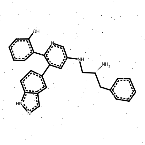 N[C@@H](CNc1cnc(-c2ccccc2O)c(-c2ccc3[nH]ncc3c2)c1)Cc1ccccc1